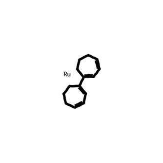 C1=CCCCC(C2=CC=CCCC2)=C1.[Ru]